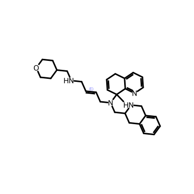 CC1(N(C/C=C/CNCC2CCOCC2)CC2Cc3ccccc3CN2)C=CCc2cccnc21